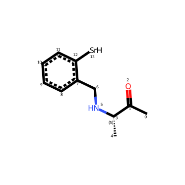 CC(=O)[C@H](C)NCc1cccc[c]1[SrH]